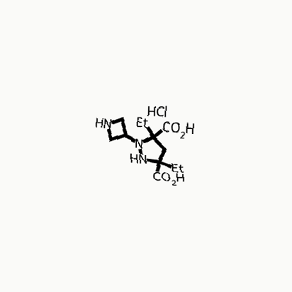 CCC1(C(=O)O)CC(CC)(C(=O)O)N(C2CNC2)N1.Cl